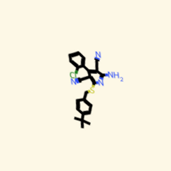 CC(C)(C)c1ccc(CSc2nc(N)c(C#N)c(-c3ccccc3Cl)c2C#N)cc1